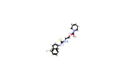 O=C(OCCNC(=S)NC1CCc2c(F)cccc21)N1CCCCC1